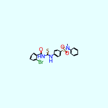 CN(c1ccccc1)S(=O)(=O)c1ccc(NC(=S)NC(=O)c2ccccc2Br)cc1